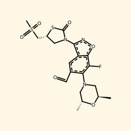 C[C@@H]1CN(c2c(C=O)cc3c(N4C[C@H](CS(C)(=O)=O)SC4=O)noc3c2F)C[C@@H](C)O1